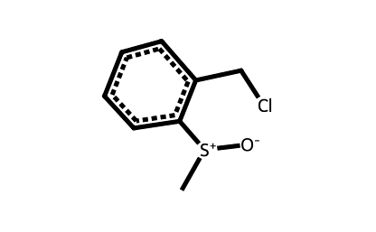 C[S+]([O-])c1ccccc1CCl